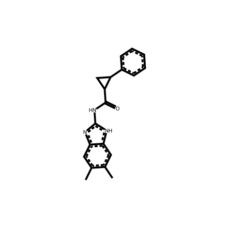 Cc1cc2nc(NC(=O)C3CC3c3ccccc3)[nH]c2cc1C